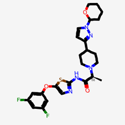 C[C@@H](C(=O)Nc1ncc(Oc2cc(F)cc(F)c2)s1)N1CCC(c2ccn(C3CCCCO3)n2)CC1